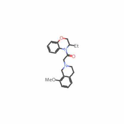 CCC1COc2ccccc2N1C(=O)CN1CCc2cccc(OC)c2C1